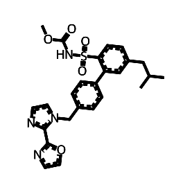 COC(=O)NS(=O)(=O)c1ccc(CC(C)C)cc1-c1ccc(Cn2ccnc2-c2ncco2)cc1